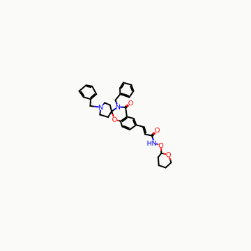 O=C(C=Cc1ccc2c(c1)C(=O)N(Cc1ccccc1)C1(CCN(Cc3ccccc3)CC1)O2)NOC1CCCCO1